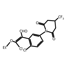 CCOC(Cl)=C(C=O)c1cc(N2C(=O)CC(C(F)(F)F)CC2=O)ccc1Cl